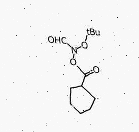 CC(C)(C)ON(C=O)OC(=O)C1[CH]CCCC1